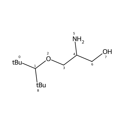 CC(C)(C)C(OCC(N)CO)C(C)(C)C